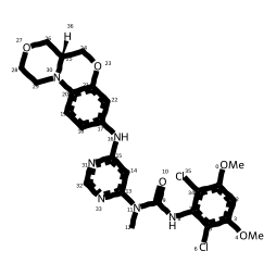 COc1cc(OC)c(Cl)c(NC(=O)N(C)c2cc(Nc3ccc4c(c3)OC[C@H]3COCCN43)ncn2)c1Cl